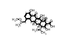 CON(C)Cc1ccc(O)c2c1C[C@H]1C[C@H]3[C@H](N(C)C)C(O)=C(C(=O)O)C(=O)[C@@]3(O)C(O)=C1C2=O